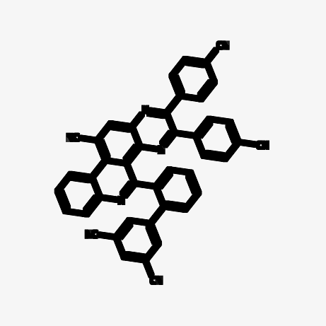 N#Cc1ccc(-c2nc3cc(C#N)c4c5ccccc5nc(-c5ccccc5-c5cc(C#N)cc(C#N)c5)c4c3nc2-c2ccc(C#N)cc2)cc1